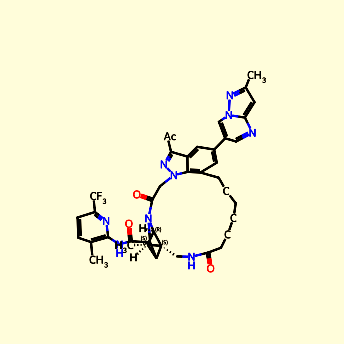 CC(=O)c1nn2c3c(cc(-c4cnc5cc(C)nn5c4)cc13)CCCCCCC(=O)NC[C@@]13C4[C@@H](C(=O)Nc5nc(C(F)(F)F)ccc5C)N(C(=O)C2)[C@@H]1[C@]43C